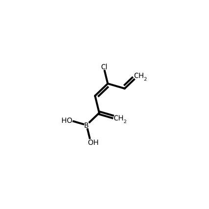 C=C/C(Cl)=C\C(=C)B(O)O